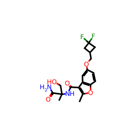 Cc1oc2ccc(OCC3CC(F)(F)C3)cc2c1C(=O)NC(C)(CO)C(N)=O